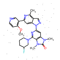 COc1ccncc1-c1cc2c(cnn2-c2cc3c(c(N4CCCC(F)C4)n2)n(C)c(=O)n3C)c(C)n1